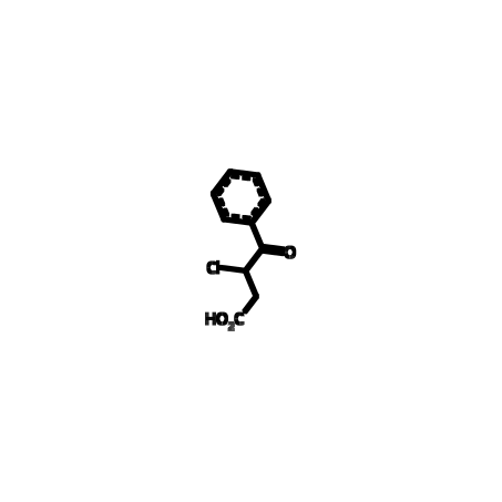 O=C(O)CC(Cl)C(=O)c1ccccc1